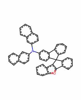 c1ccc2c(c1)-c1cc(N(c3ccc4ccccc4c3)c3ccc4ccccc4c3)ccc1C21c2ccccc2-c2oc3ccccc3c21